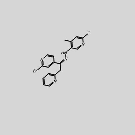 Cc1cc(F)ncc1NN=C(Cc1ccccn1)c1ccnc(Br)c1